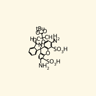 CC(C)(C)OC(=O)C(C)(C)ON1C(=O)c2ccccc2C12c1ccc(N)c(S(=O)(=O)O)c1Oc1c2ccc(N)c1S(=O)(=O)O